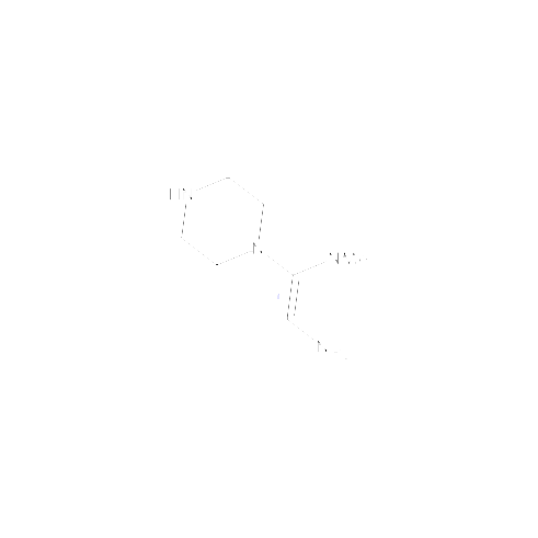 CN/C(=C\[N+](=O)[O-])N1CCNCC1